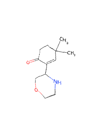 CC1(C)C=C(C2COCCN2)C(=O)CC1